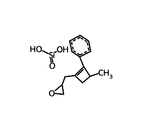 CC1CC(CC2CO2)=C1c1ccccc1.O=[Si](O)O